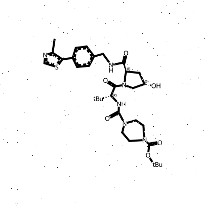 Cc1ncsc1-c1ccc(CNC(=O)[C@H]2C[C@H](O)CN2C(=O)[C@H](NC(=O)N2CCN(C(=O)OC(C)(C)C)CC2)C(C)(C)C)cc1